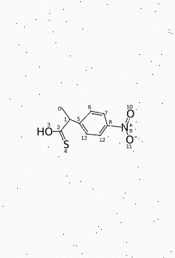 CC(C(O)=S)c1ccc([N+](=O)[O-])cc1